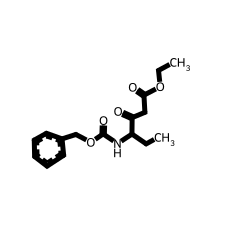 CCOC(=O)CC(=O)C(CC)NC(=O)OCc1ccccc1